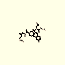 C=C(CCN)CNC(=C)N1CCC2(CC1)Cc1cc(C)ccc1C1=C2C(=C)N(CC=N)C(SCCCC)=N1